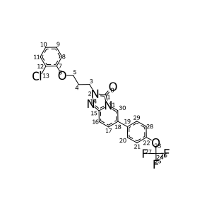 O=c1n(CCCOc2ccccc2Cl)nc2ccc(-c3ccc(OC(F)(F)F)cc3)cn12